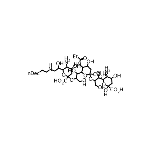 CCCCCCCCCCCCNCC(O)C1OC(OC(CO)C(O)C2OC(OC(CO)C(O)C3OC(O)(C(=O)O)CC(O)C3N)(C(=O)O)CC(O)C2NC(=O)CC)(C(=O)O)CC(O)C1N